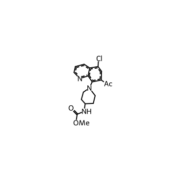 COC(=O)NC1CCN(c2c(C(C)=O)cc(Cl)c3cccnc23)CC1